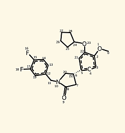 COc1ccc([C@@H]2CC(=O)N(Cc3ccc(F)c(F)c3)C2)cc1OC1CCCC1